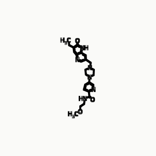 CCc1cc2ncc(CN3CCN(c4ccc(C(=O)NCCOC)nc4)CC3)cc2[nH]c1=O